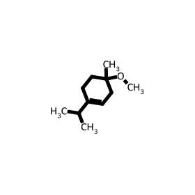 COC1(C)CC=C(C(C)C)CC1